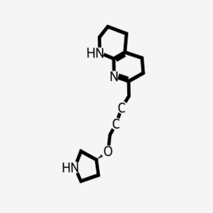 C(CCC1=NC2=C(CCCN2)CC1)CO[C@@H]1CCNC1